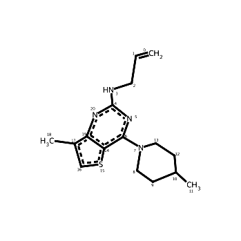 C=CCNc1nc(N2CCC(C)CC2)c2scc(C)c2n1